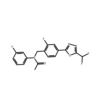 CC(=O)N(Cc1ccc(-c2nnc(C(F)F)o2)cc1F)c1cccc(F)c1